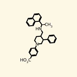 C[C@@H](NCC1CCN(c2ccc(C(=O)O)cc2)CC1c1ccccc1)c1cccc2ccccc12